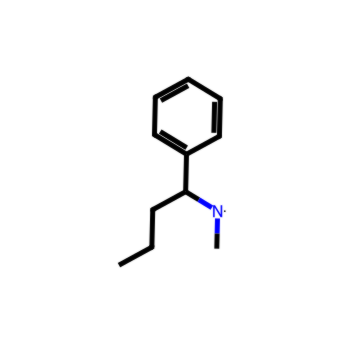 CCCC([N]C)c1ccccc1